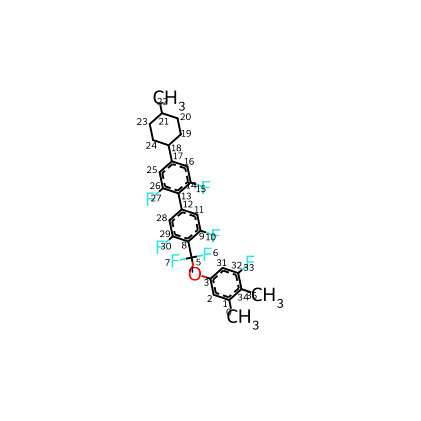 Cc1cc(OC(F)(F)c2c(F)cc(-c3c(F)cc(C4CCC(C)CC4)cc3F)cc2F)cc(F)c1C